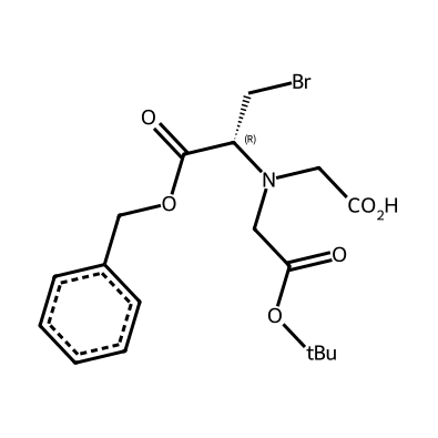 CC(C)(C)OC(=O)CN(CC(=O)O)[C@@H](CBr)C(=O)OCc1ccccc1